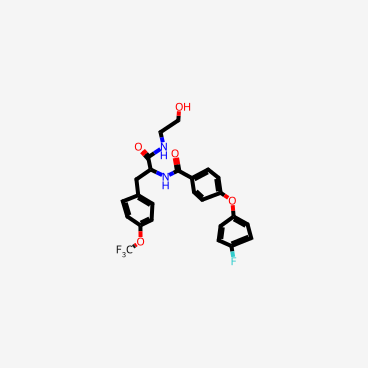 O=C(NC(Cc1ccc(OC(F)(F)F)cc1)C(=O)NCCO)c1ccc(Oc2ccc(F)cc2)cc1